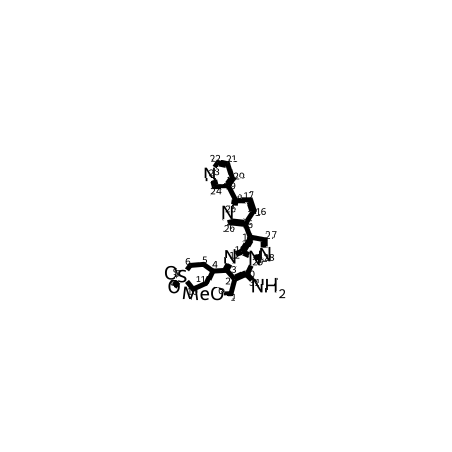 COCc1c(C2CCS(=O)(=O)CC2)nc2c(-c3ccc(-c4cccnc4)nc3)cnn2c1N